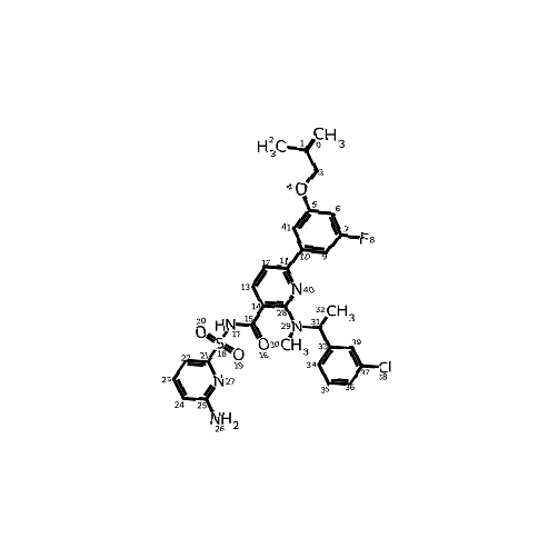 CC(C)COc1cc(F)cc(-c2ccc(C(=O)NS(=O)(=O)c3cccc(N)n3)c(N(C)C(C)c3cccc(Cl)c3)n2)c1